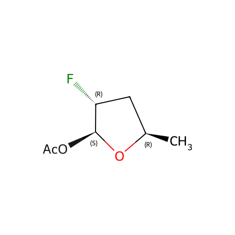 CC(=O)O[C@@H]1O[C@H](C)C[C@H]1F